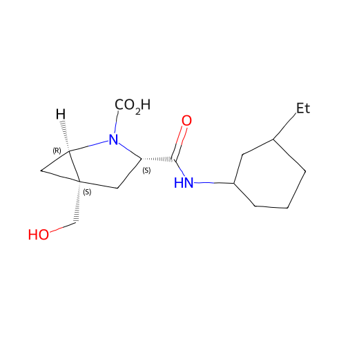 CCC1CCCC(NC(=O)[C@@H]2C[C@@]3(CO)C[C@H]3N2C(=O)O)C1